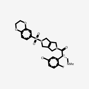 CNC[C@@H](C(=O)N1CC2=C(C1)CN(S(=O)(=O)c1ccc3c(c1)OCCO3)C2)c1cc(Cl)ccc1F